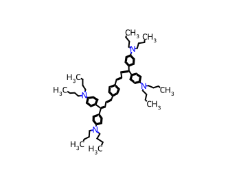 CCCCN(CCCC)c1ccc(C(=CC=Cc2ccc(C=CC=C(c3ccc(N(CCCC)CCCC)cc3)c3ccc(N(CCCC)CCCC)cc3)cc2)c2ccc(N(CCCC)CCCC)cc2)cc1